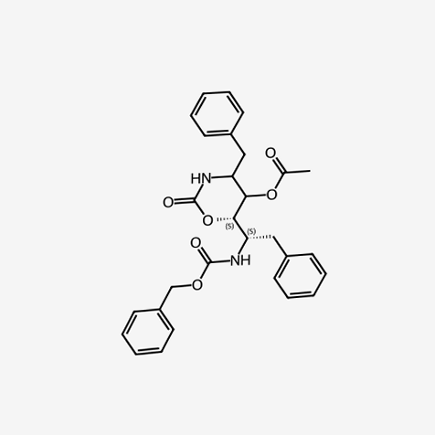 CC(=O)OC1C(Cc2ccccc2)NC(=O)O[C@H]1[C@H](Cc1ccccc1)NC(=O)OCc1ccccc1